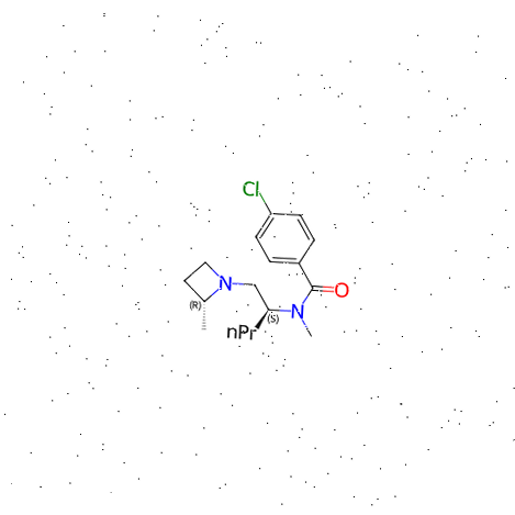 CCC[C@@H](CN1CC[C@H]1C)N(C)C(=O)c1ccc(Cl)cc1